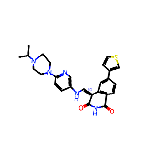 CC(C)N1CCN(c2ccc(N/C=C3\C(=O)NC(=O)c4ccc(-c5ccsc5)cc43)cn2)CC1